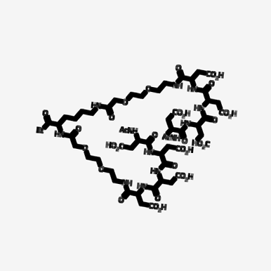 CCC(=O)C(CCCCNC(=O)COCCOCCNC(=O)C(CC(=O)O)NC(=O)C(CC(=O)O)NC(=O)C(CC(=O)O)NC(=O)C(CC(=O)O)NC(C)=O)NC(=O)COCCOCCNC(=O)C(CC(=O)O)NC(=O)C(CC(=O)O)NC(=O)C(CC(=O)O)NC(=O)C(CC(=O)O)NC(C)=O